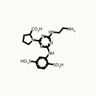 NCCNc1nc(Nc2cc(S(=O)(=O)O)ccc2S(=O)(=O)O)nc(N2CCCC2C(=O)O)n1